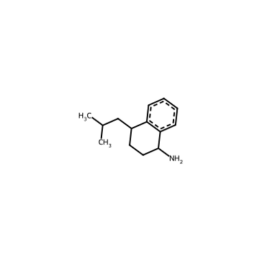 CC(C)CC1CCC(N)c2ccccc21